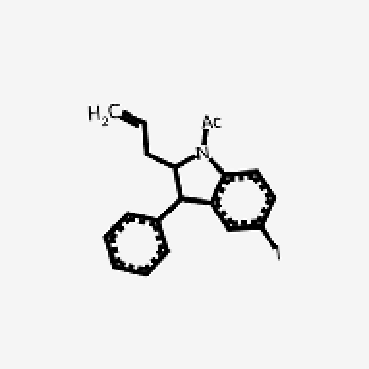 C=CCC1C(c2ccccc2)c2cc(I)ccc2N1C(C)=O